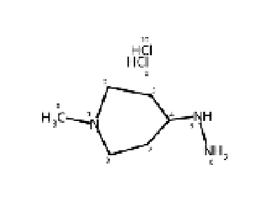 CN1CCC(NN)CC1.Cl.Cl